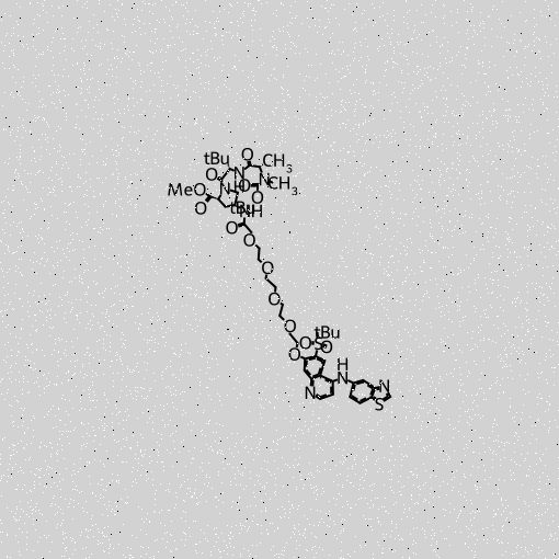 COC(=O)[C@@H]1C[C@H](NC(=O)COCCOCCOCCOCCOc2cc3nccc(Nc4ccc5scnc5c4)c3cc2S(=O)(=O)C(C)(C)C)CN1C(=O)[C@@H](NC(=O)[C@H](C)N(C)C(=O)OC(C)(C)C)C(C)(C)C